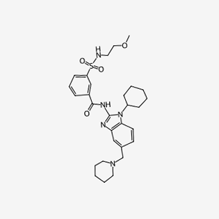 COCCNS(=O)(=O)c1cccc(C(=O)Nc2nc3cc(CN4CCCCC4)ccc3n2C2CCCCC2)c1